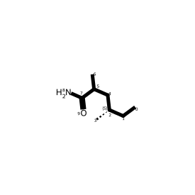 CC[C@H](C)CC(C)C(N)=O